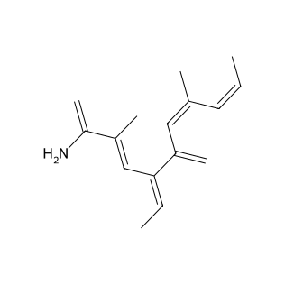 C=C(N)/C(C)=C/C(=C\C)C(=C)/C=C(C)\C=C/C